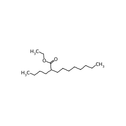 CCCCCCCCC(CCCC)C(=O)OCC